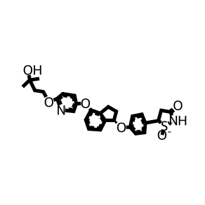 CC(C)(O)CCOc1ccc(Oc2cccc3c2CC[C@H]3Oc2ccc(C3CC(=O)N[S+]3[O-])cc2)cn1